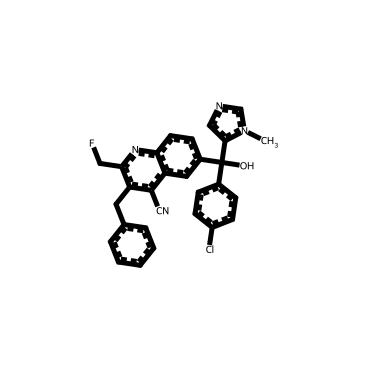 Cn1cncc1C(O)(c1ccc(Cl)cc1)c1ccc2nc(CF)c(Cc3ccccc3)c(C#N)c2c1